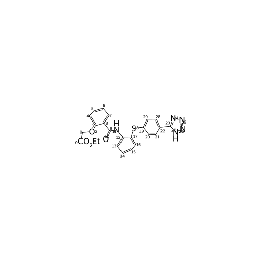 CCOC(=O)COc1ccccc1C(=O)Nc1ccccc1Sc1ccc(-c2nnn[nH]2)cc1